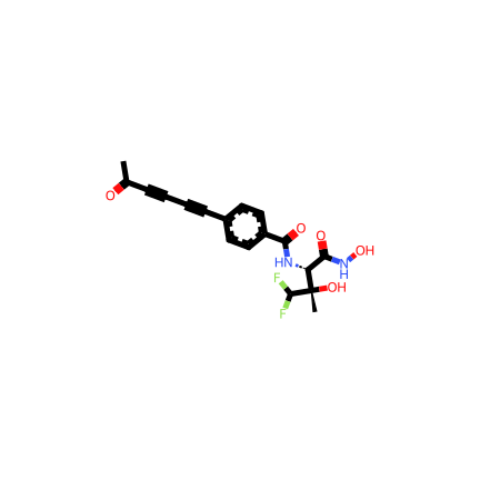 CC(=O)C#CC#Cc1ccc(C(=O)N[C@H](C(=O)NO)[C@](C)(O)C(F)F)cc1